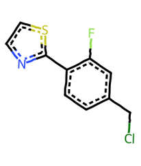 Fc1cc(CCl)ccc1-c1nccs1